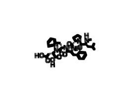 CN[C@@H](CC(C)C)C(=O)N1CCC[C@H]1C(=O)NC(Cc1ccccc1)C(=O)N[C@@H](Cc1ccccc1)C(=O)N[C@@H](CC(=O)O)C(=O)O